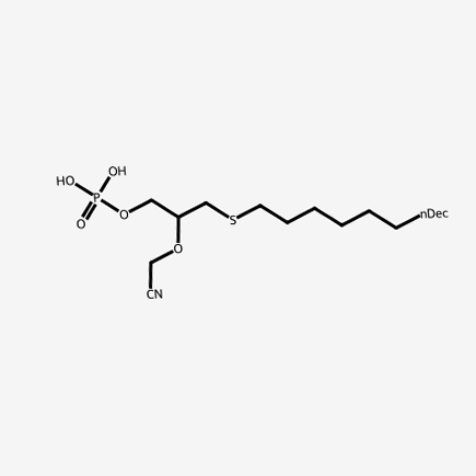 CCCCCCCCCCCCCCCCSCC(COP(=O)(O)O)OCC#N